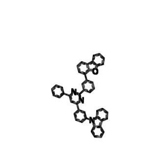 c1ccc(-c2cc(-c3cccc(-n4c5ccccc5c5ccccc54)c3)nc(-c3cccc(-c4cccc5c4oc4ccccc45)c3)n2)cc1